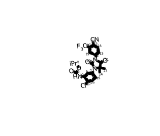 CC(C)OC(=O)Nc1cc(N2C(=O)N(c3ccc(C#N)c(C(F)(F)F)c3)C(=O)C2(C)C)ccc1Cl